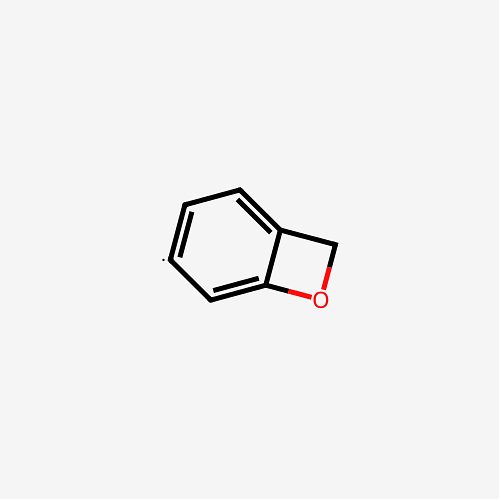 [c]1ccc2c(c1)OC2